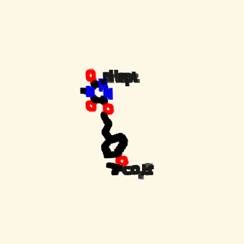 CCCCCCCn1nc(OCCCc2ccc(OC(C)(C)C(=O)OCC)cc2)c(=O)n(C)c1=O